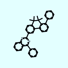 CC1(C)c2ccc(-c3nc(-c4ccccc4)c4ccccc4n3)cc2-c2cccc(-c3ccccc3)c2C1(C)C